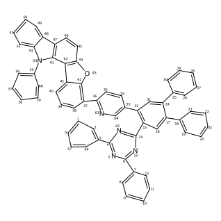 c1ccc(-c2nc(-c3ccccc3)nc(-c3cc(-c4ccccc4)c(-c4ccccc4)cc3-c3ccc(-c4cccc5c4oc4ccc6c7ccccc7n(-c7ccccc7)c6c45)nc3)n2)cc1